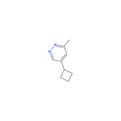 Cc1cc(C2CCC2)cnn1